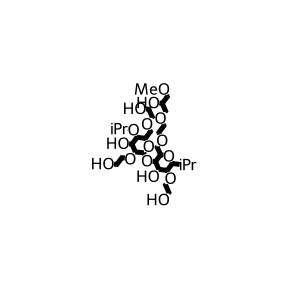 COCC(O)COCCOCC1OC(C(C)C)C(OCCO)C(O)C1OC1OC(COCCO)C(OC(C)C)C(O)C1OCCO